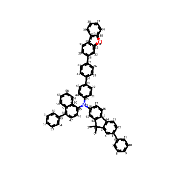 CC1(C)c2cc(-c3ccccc3)ccc2-c2ccc(N(c3ccc(-c4ccc(-c5ccc6c(c5)oc5ccccc56)cc4)cc3)c3ccc(-c4ccccc4)c4ccccc34)cc21